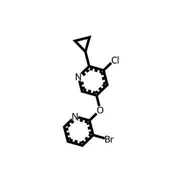 Clc1cc(Oc2ncccc2Br)cnc1C1CC1